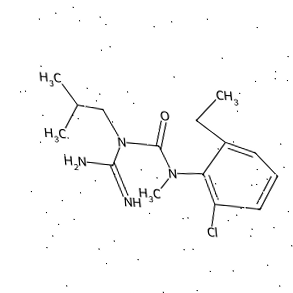 CCc1cccc(Cl)c1N(C)C(=O)N(CC(C)C)C(=N)N